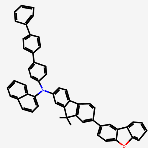 CC1(C)c2cc(-c3ccc4oc5ccccc5c4c3)ccc2-c2ccc(N(c3ccc(-c4ccc(-c5ccccc5)cc4)cc3)c3cccc4ccccc34)cc21